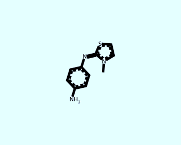 Cn1ccsc1=Nc1ccc(N)cc1